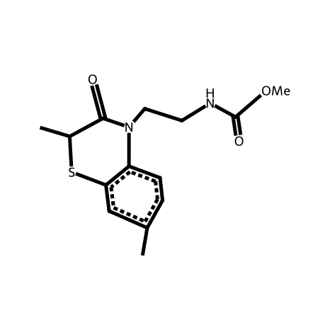 COC(=O)NCCN1C(=O)C(C)Sc2cc(C)ccc21